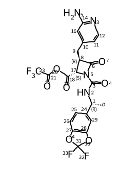 C[C@@H](NC(=O)N1C(=O)[C@H](Cc2ccnc(N)c2)[C@H]1C(=O)OC(=O)C(F)(F)F)c1ccc2c(c1)OC(F)(F)O2